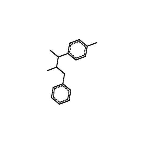 Cc1ccc(C(C)C(C)Cc2ccccc2)cc1